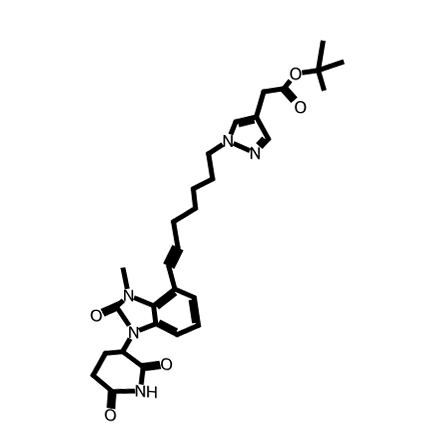 Cn1c(=O)n(C2CCC(=O)NC2=O)c2cccc(C#CCCCCCn3cc(CC(=O)OC(C)(C)C)cn3)c21